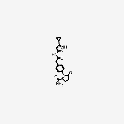 NC(=O)C1CCC(=O)N1c1ccc(CC(=O)Nc2cc(C3CC3)[nH]n2)cc1